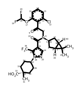 CC1(C)[C@@H]2C[C@@H](N(CC(=O)c3c(Cl)cccc3OC(F)F)C(=O)c3cnn([C@H]4CC[C@](C)(C(=O)O)CC4)c3C(F)(F)F)C[C@@H]21